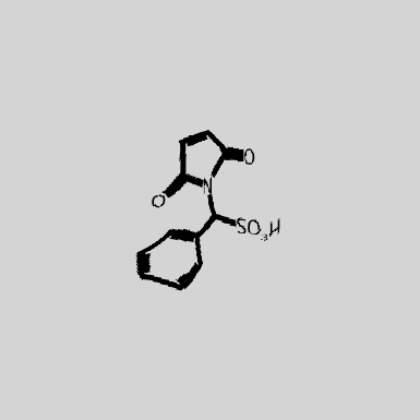 O=C1C=CC(=O)N1C(c1ccccc1)S(=O)(=O)O